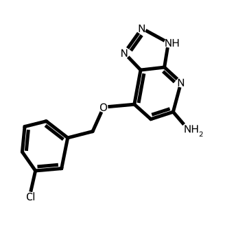 Nc1cc(OCc2cccc(Cl)c2)c2nn[nH]c2n1